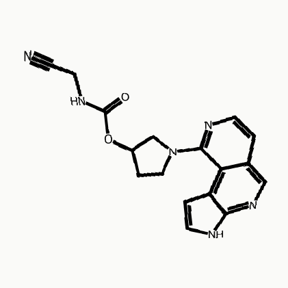 N#CCNC(=O)OC1CCN(c2nccc3cnc4[nH]ccc4c23)C1